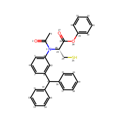 CC(=O)N(c1cccc(C(c2ccccc2)c2ccccc2)c1)[C@@H](CS)C(=O)Oc1ccccc1